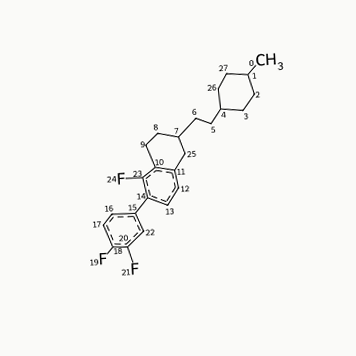 CC1CCC(CCC2CCc3c(ccc(-c4ccc(F)c(F)c4)c3F)C2)CC1